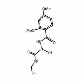 COc1ccc(C(=O)NN(S)C(=O)NCC(C)C)c(OC)c1